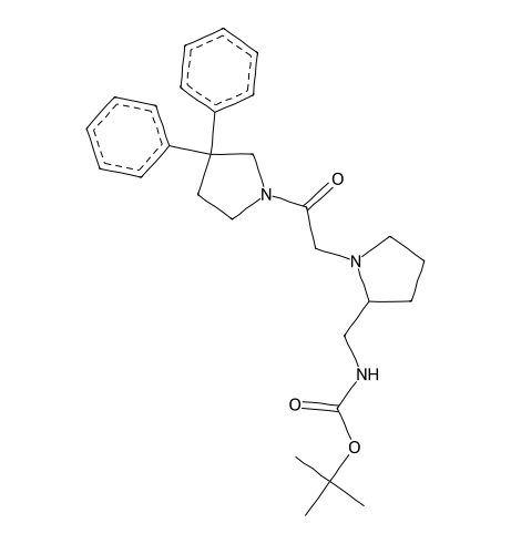 CC(C)(C)OC(=O)NCC1CCCN1CC(=O)N1CCC(c2ccccc2)(c2ccccc2)C1